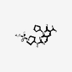 CS(=O)(=O)N1CCC(Nc2ncc3cc(C(F)F)c(=O)n(C4CCCC4)c3n2)CC1